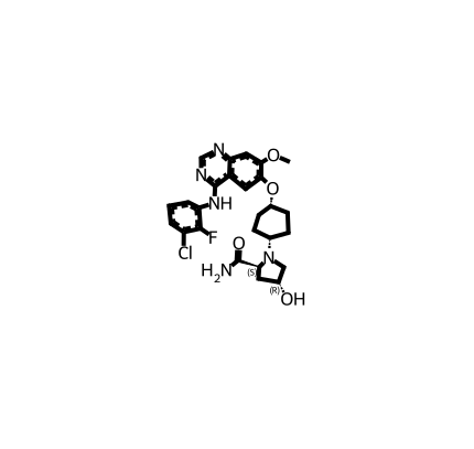 COc1cc2ncnc(Nc3cccc(Cl)c3F)c2cc1O[C@H]1CC[C@@H](N2C[C@H](O)C[C@H]2C(N)=O)CC1